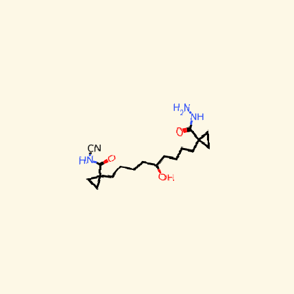 N#CNC(=O)C1(CCCCC(O)CCCCC2(C(=O)NN)CC2)CC1